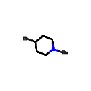 CCC1CCN(C(C)CC)CC1